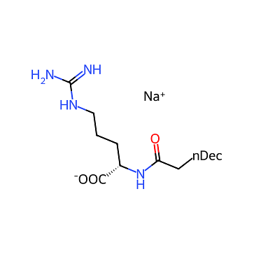 CCCCCCCCCCCC(=O)N[C@@H](CCCNC(=N)N)C(=O)[O-].[Na+]